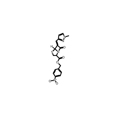 Cn1ccc(C=C2C(=O)N3C(C(=O)OCc4ccc([N+](=O)[O-])cc4)CS[C@H]23)n1